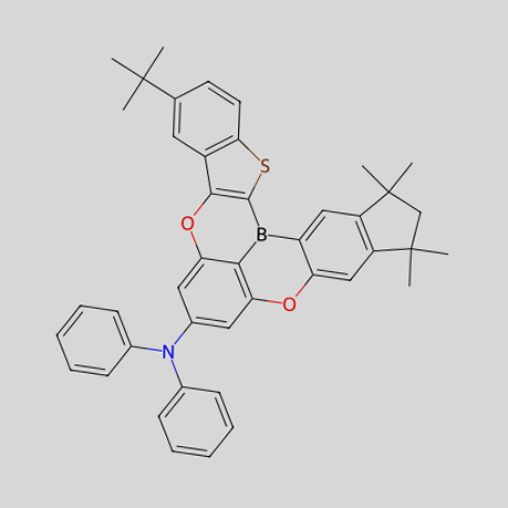 CC(C)(C)c1ccc2sc3c(c2c1)Oc1cc(N(c2ccccc2)c2ccccc2)cc2c1B3c1cc3c(cc1O2)C(C)(C)CC3(C)C